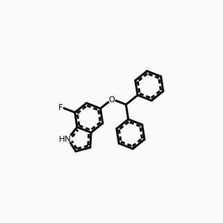 Fc1cc(OC(c2ccccc2)c2ccccc2)cc2cc[nH]c12